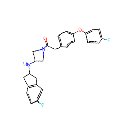 O=C(Cc1ccc(Oc2ccc(F)cc2)cc1)N1CC(NC2Cc3ccc(F)cc3C2)C1